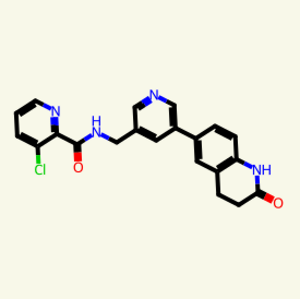 O=C1CCc2cc(-c3cncc(CNC(=O)c4ncccc4Cl)c3)ccc2N1